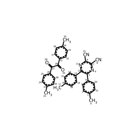 Cc1ccc(-c2nc(C#N)c(C#N)nc2-c2ccc(C)cc2)cc1.Cc1ccc(C(=O)C(=O)c2ccc(C)cc2)cc1